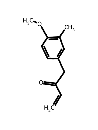 C=CC(=O)Cc1ccc(OC)c(C)c1